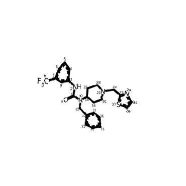 O=C(Nc1cccc(C(F)(F)F)c1)N(Cc1ccccc1)C1CCN(Cc2nccs2)CC1